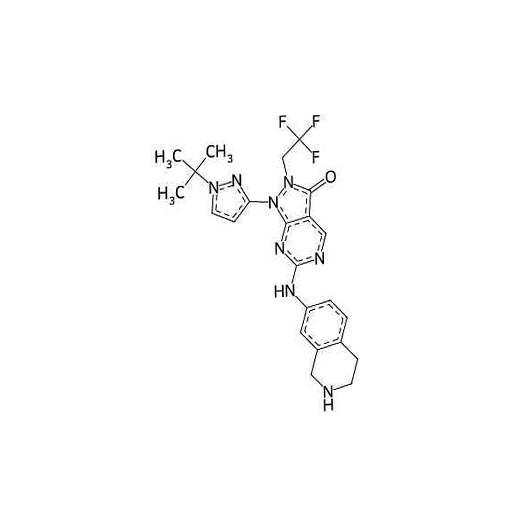 CC(C)(C)n1ccc(-n2c3nc(Nc4ccc5c(c4)CNCC5)ncc3c(=O)n2CC(F)(F)F)n1